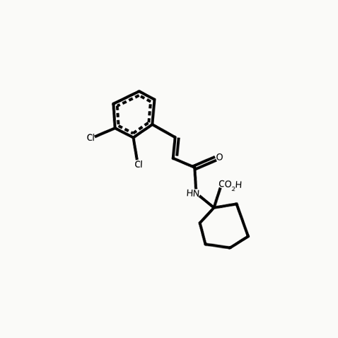 O=C(C=Cc1cccc(Cl)c1Cl)NC1(C(=O)O)CCCCC1